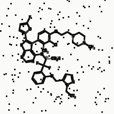 Cc1c(-c2c(-c3ccc(F)o3)sc3ncnc(O[C@H](C(=O)O)C(F)(F)c4ccccc4OCc4ccnn4CC(F)(F)F)c23)ccc(OCCN2CCN(C)CC2)c1Cl